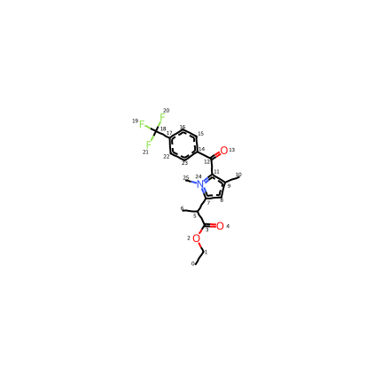 CCOC(=O)C(C)c1cc(C)c(C(=O)c2ccc(C(F)(F)F)cc2)n1C